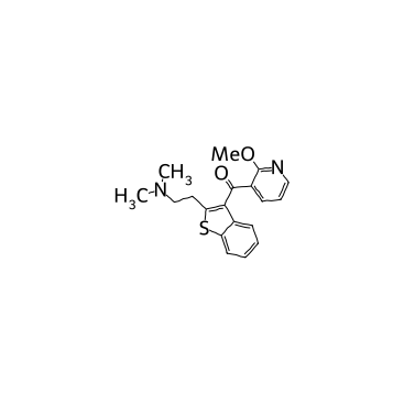 COc1ncccc1C(=O)c1c(CCN(C)C)sc2ccccc12